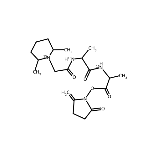 C=C1CCC(=O)N1OC(=O)C(C)[15NH]C(=O)C(C)[15NH]C(=O)C[15N]1C(C)CCCC1C